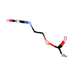 CCC(C)C(=O)OCCN=C=O